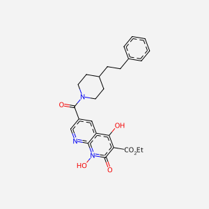 CCOC(=O)c1c(O)c2cc(C(=O)N3CCC(CCc4ccccc4)CC3)cnc2n(O)c1=O